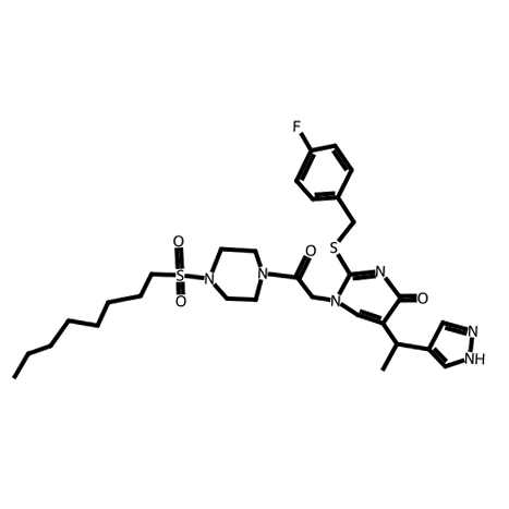 CCCCCCCCS(=O)(=O)N1CCN(C(=O)Cn2cc(C(C)c3cn[nH]c3)c(=O)nc2SCc2ccc(F)cc2)CC1